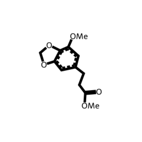 COC(=O)CCc1cc(OC)c2c(c1)OCO2